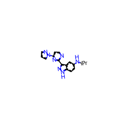 CC(C)Nc1ccc2[nH]nc(-c3nccc(-n4cccn4)n3)c2c1